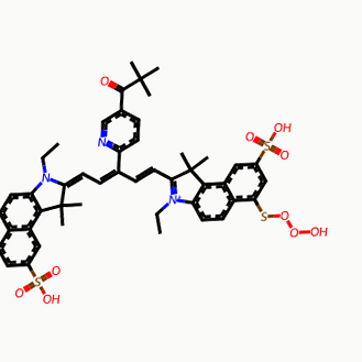 CCN1/C(=C/C=C(/C=C/C2=[N+](CC)c3ccc4c(SOOO)cc(S(=O)(=O)O)cc4c3C2(C)C)c2ccc(C(=O)C(C)(C)C)cn2)C(C)(C)c2c1ccc1c(C)cc(S(=O)(=O)O)cc21